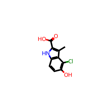 Cc1c(C(=O)O)[nH]c2ccc(O)c(Cl)c12